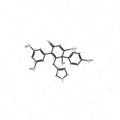 COc1ccc(C2(O)C(C(=O)O)=CC(=O)C(c3cc(OC)cc(OC)c3)=C2CC2=CCOC2)cc1